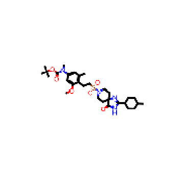 COc1cc(N(C)C(=O)OC(C)(C)C)cc(C)c1CCS(=O)(=O)N1CCC2(CC1)N=C(C1CCC(C)CC1)NC2=O